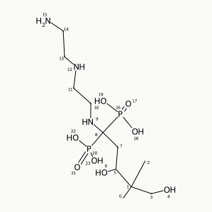 CC(C)(CO)C(O)CC(NCCNCCN)(P(=O)(O)O)P(=O)(O)O